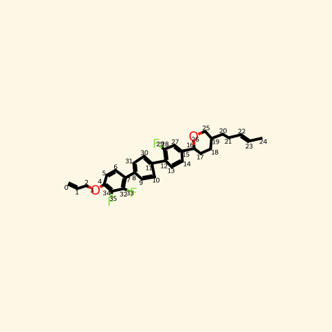 C=CCOc1ccc(-c2ccc(-c3ccc(C4CCC(CC/C=C/C)CO4)cc3F)cc2)c(F)c1F